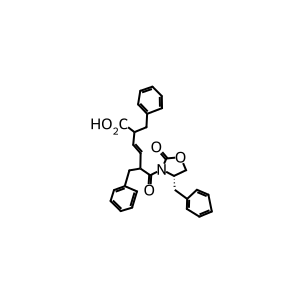 O=C(O)C(C=CC(Cc1ccccc1)C(=O)N1C(=O)OC[C@@H]1Cc1ccccc1)Cc1ccccc1